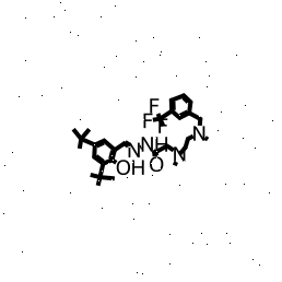 CN(CCN(C)Cc1cccc(C(F)(F)F)c1)CC(=O)NN=Cc1cc(C(C)(C)C)cc(C(C)(C)C)c1O